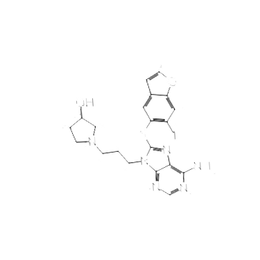 Nc1ncnc2c1nc(Sc1cc3ccoc3cc1I)n2CCCN1CCC(O)C1